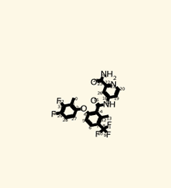 Cc1c(Oc2ccc(C(F)(F)F)c(C)c2C(=O)Nc2ccnc(C(N)=O)c2)ccc(F)c1F